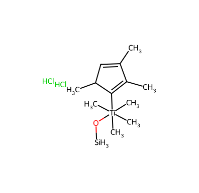 CC1=CC(C)[C]([Ti]([CH3])([CH3])([CH3])([CH3])[O][SiH3])=C1C.Cl.Cl